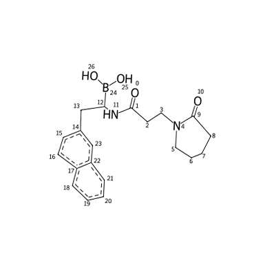 O=C(CCN1CCCCC1=O)NC(Cc1ccc2ccccc2c1)B(O)O